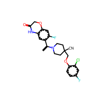 C=C(c1cc2c(cc1F)OCC(=O)N2)N1CCC(C#N)(COc2ccc(F)cc2Cl)CC1